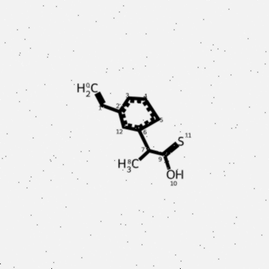 C=Cc1cccc(C(C)C(O)=S)c1